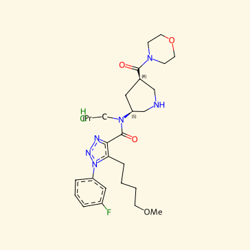 COCCCCc1c(C(=O)N(CC(C)C)[C@@H]2CNC[C@H](C(=O)N3CCOCC3)C2)nnn1-c1cccc(F)c1.Cl